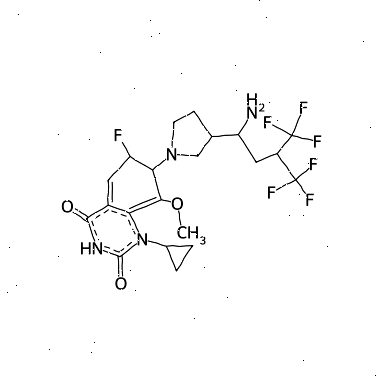 COC1=c2c(c(=O)[nH]c(=O)n2C2CC2)=CC(F)C1N1CCC(C(N)CC(C(F)(F)F)C(F)(F)F)C1